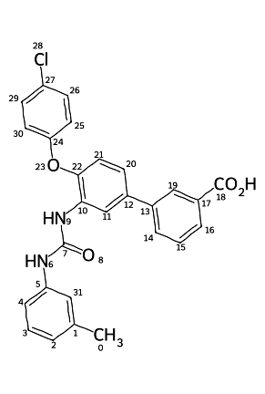 Cc1cccc(NC(=O)Nc2cc(-c3cccc(C(=O)O)c3)ccc2Oc2ccc(Cl)cc2)c1